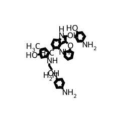 Cc1ccc(NCCO)cc1O.Cc1ccc2[nH]c(O)c(Oc3ccccc3)c2c1N.Nc1ccc(N)cc1.Nc1ccc(O)cc1